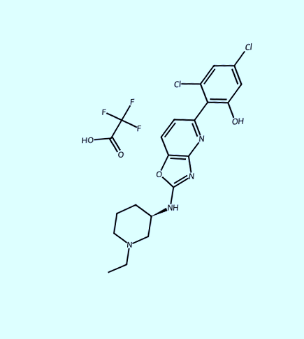 CCN1CCC[C@@H](Nc2nc3nc(-c4c(O)cc(Cl)cc4Cl)ccc3o2)C1.O=C(O)C(F)(F)F